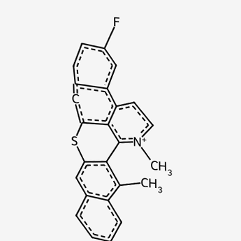 Cc1c2c(cc3ccccc13)Sc1cc3ccc(F)cc3c3cc[n+](C)c-2c13